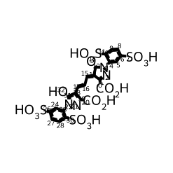 O=C(O)C1=NN(c2cc(S(=O)(=O)O)ccc2S(=O)(=O)O)C(=O)/C1=C/C=C/c1c(C(=O)O)nn(-c2cc(S(=O)(=O)O)ccc2S(=O)(=O)O)c1O